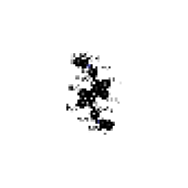 COc1cc(-c2cc3c(s2)-c2cc4c(cc2C3(c2ccc(C)cc2)c2ccc(C)cc2)-c2sc(-c3cc(OC)c(/C=C5\Cc6cc(F)c(F)cc6C5=C(C#N)C#N)cc3OC)cc2C4(c2ccc(C)cc2)c2ccc(C)cc2)c(OC)cc1/C=C1\C(=O)c2cc(F)c(F)cc2C1=C(C#N)C#N